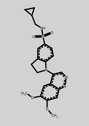 COc1cc2nncc(N3CCc4cc(S(=O)(=O)NCC5CC5)ccc43)c2cc1OC